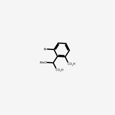 COC(C(=O)O)c1c(Br)cccc1C(=O)O